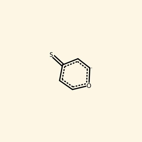 S=c1c[c]occ1